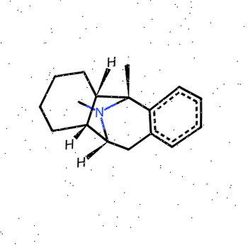 CN1[C@@H]2Cc3ccccc3[C@@]1(C)[C@H]1CCCC[C@@H]21